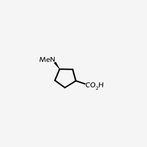 CN[C@@H]1CCC(C(=O)O)C1